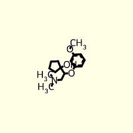 COc1cccc(OC(CN(C)C)C2(O)CCCC2)c1